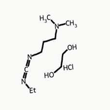 CCN=C=NCCCN(C)C.Cl.OCCO